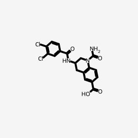 NC(=O)N1CC(NC(=O)c2ccc(Cl)c(Cl)c2)Cc2cc(C(=O)O)ccc21